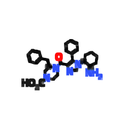 N[C@@H]1CCCC[C@@H]1n1cnc(C(=O)N2CCN(C(=O)O)C[C@H]2Cc2ccccc2)c1-c1ccccc1